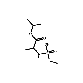 CSP(=O)(O)NC(C)C(=O)OC(C)C